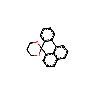 c1ccc2c(c1)-c1cccc3cccc(c13)C21OCCCO1